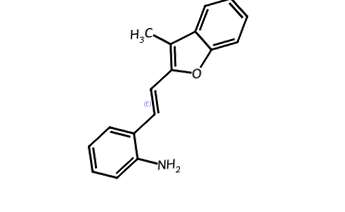 Cc1c(/C=C/c2ccccc2N)oc2ccccc12